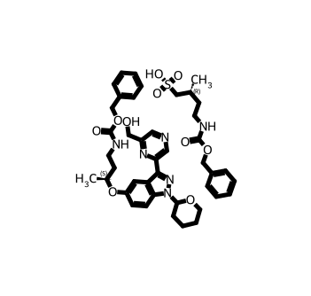 C[C@@H](CCNC(=O)OCc1ccccc1)Oc1ccc2c(c1)c(-c1cncc(CO)n1)nn2C1CCCCO1.C[C@H](CCNC(=O)OCc1ccccc1)CS(=O)(=O)O